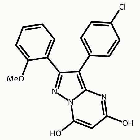 COc1ccccc1-c1nn2c(O)cc(O)nc2c1-c1ccc(Cl)cc1